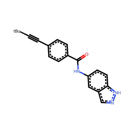 CC(C)(C)C#Cc1ccc(C(=O)Nc2ccc3[nH]ncc3c2)cc1